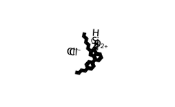 CCCCCCC1=Cc2c(-c3ccc(CCCC)cc3)cccc2[CH]1[Zr+2][O][SiH](C)C.[Cl-].[Cl-]